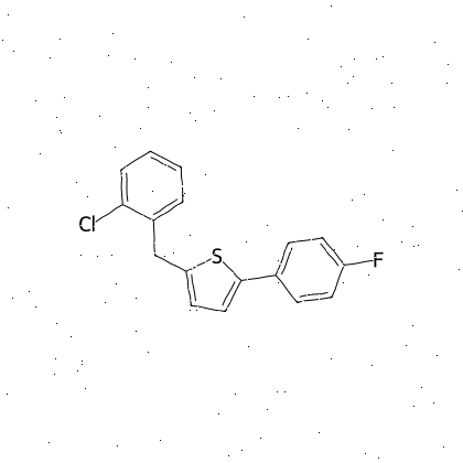 Fc1ccc(-c2ccc(Cc3ccccc3Cl)s2)cc1